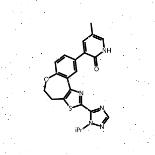 Cc1c[nH]c(=O)c(-c2ccc3c(c2)-c2nc(-c4ncnn4C(C)C)sc2CCO3)c1